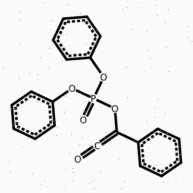 O=C=C(OP(=O)(Oc1ccccc1)Oc1ccccc1)c1ccccc1